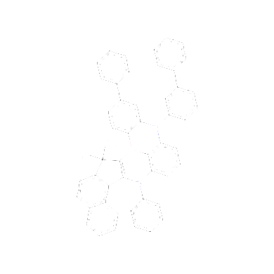 CC1(C)C2=C(c3c1ccc1ccccc31)N(c1ccccc1)c1cccc3c1B2c1ccc(-c2ccccc2)cc1N3c1cccc(-c2ccccc2)c1